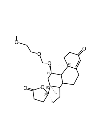 COCCOCO[C@@H]1C[C@@]2(C)C(CC[C@@]23CCC(=O)O3)C2CCC3=CC(=O)CC[C@]3(C)C21